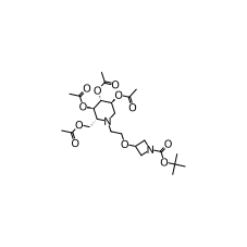 CC(=O)OC[C@@H]1[C@@H](OC(C)=O)[C@H](OC(C)=O)[C@@H](OC(C)=O)CN1CCOC1CN(C(=O)OC(C)(C)C)C1